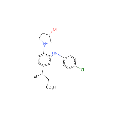 CCC(CC(=O)O)c1ccc(N2CC[C@H](O)C2)c(Nc2ccc(Cl)cc2)c1